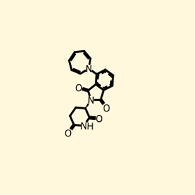 O=C1CC[C@@H](N2C(=O)c3cccc(N4C=CC=CC=C4)c3C2=O)C(=O)N1